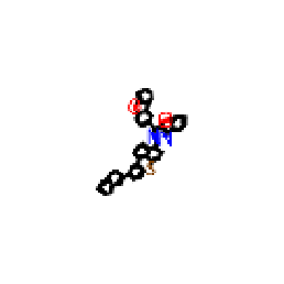 c1ccc2cc(-c3ccc4c(c3)-c3cccc5c(-c6nc(-c7ccc8oc9ccccc9c8c7)c7oc8ccccc8c7n6)ccc(c35)S4)ccc2c1